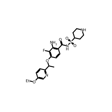 CCOc1ccc(C(C)Oc2ccc(C(=O)NS(=O)(=O)C3CCNCC3)c(N)c2F)nc1